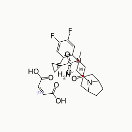 CN(CC(=O)N1C2CCC1CC([C@H](N)Cc1cc(F)c(F)cc1F)C2)S(=O)(=O)C1CC1.O=C(O)/C=C\C(=O)O